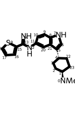 CN[C@H]1CC[C@H](c2c[nH]c3ccc(NC(=N)c4cccs4)cc32)CC1